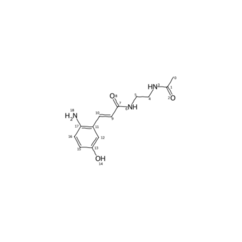 CC(=O)NCCNC(=O)C=Cc1cc(O)ccc1N